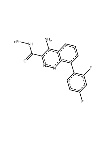 CCCNC(=O)c1nnc2c(-c3ccc(F)cc3F)cccc2c1N